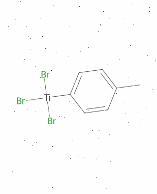 Cc1cc[c]([Ti]([Br])([Br])[Br])cc1